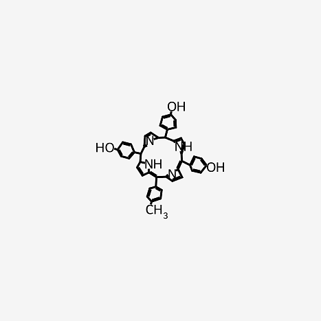 Cc1ccc(/C2=C3\C=CC(N3)C(c3ccc(O)cc3)C3=NC(C=C3)C(c3ccc(O)cc3)c3ccc([nH]3)/C(c3ccc(O)cc3)=C3/C=CC2=N3)cc1